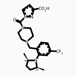 C[C@@H]1CC[C@H](C)N1c1cc(C(F)(F)F)ccc1CN1CCN(C(=O)n2ccc(C(=O)O)n2)CC1